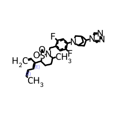 C=C/C(=C\C=C/C)C1CCC(C)N(Cc2cc(F)c(N3CC4CC3CC4n3cnnc3)cc2F)S1(=O)=O